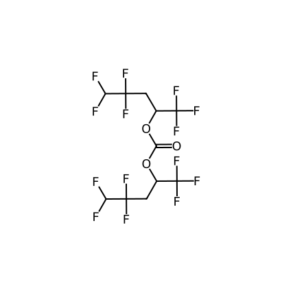 O=C(OC(CC(F)(F)C(F)F)C(F)(F)F)OC(CC(F)(F)C(F)F)C(F)(F)F